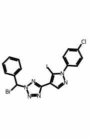 Clc1ccc(-n2ncc(-c3nnn(C(Br)c4ccccc4)n3)c2I)cc1